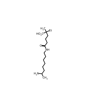 CCC(C)(CCCC(=O)NCCCCCCC(C)N)C(=O)O